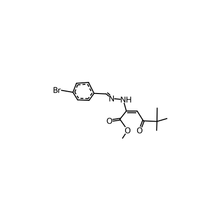 COC(=O)C(=CC(=O)C(C)(C)C)NN=Cc1ccc(Br)cc1